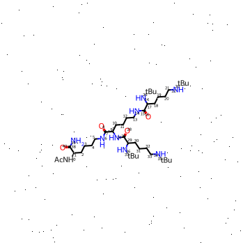 CC(=O)NC(CCCCNC(=O)C(CCCCNC(=O)C(CCCCNC(C)(C)C)NC(C)(C)C)NC(=O)C(CCCCNC(C)(C)C)NC(C)(C)C)C(N)=O